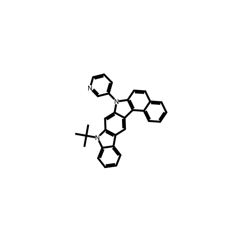 CC(C)(C)n1c2ccccc2c2cc3c4c5ccccc5ccc4n(-c4cccnc4)c3cc21